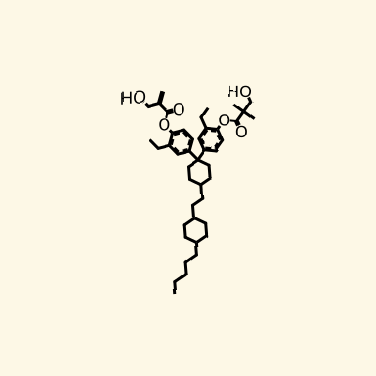 C=C(CO)C(=O)Oc1ccc(C2(c3ccc(OC(=O)C(C)(C)CO)c(CC)c3)CCC(CCC3CCC(CCCCC)CC3)CC2)cc1CC